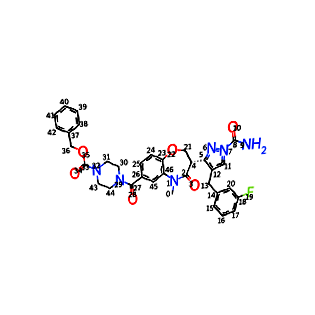 CN1C(=O)[C@@H](c2nn(C(N)=O)cc2Cc2cccc(F)c2)COc2ccc(C(=O)N3CCN(C(=O)OCc4ccccc4)CC3)cc21